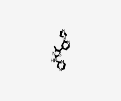 Cc1nc(Nc2cnccn2)sc1-c1ccnc(-n2ccnc2)c1